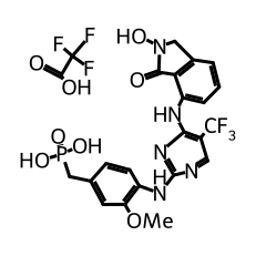 COc1cc(CP(=O)(O)O)ccc1Nc1ncc(C(F)(F)F)c(Nc2cccc3c2C(=O)N(O)C3)n1.O=C(O)C(F)(F)F